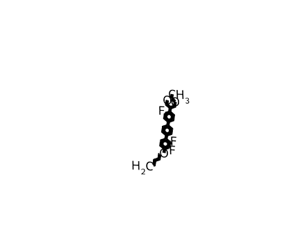 C=CCCCOc1ccc(-c2ccc(-c3ccc(C4COC(C)OC4)c(F)c3)cc2)c(F)c1F